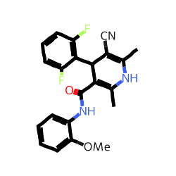 COc1ccccc1NC(=O)C1=C(C)NC(C)=C(C#N)C1c1c(F)cccc1F